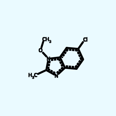 COn1c(C)nc2ccc(Cl)cc21